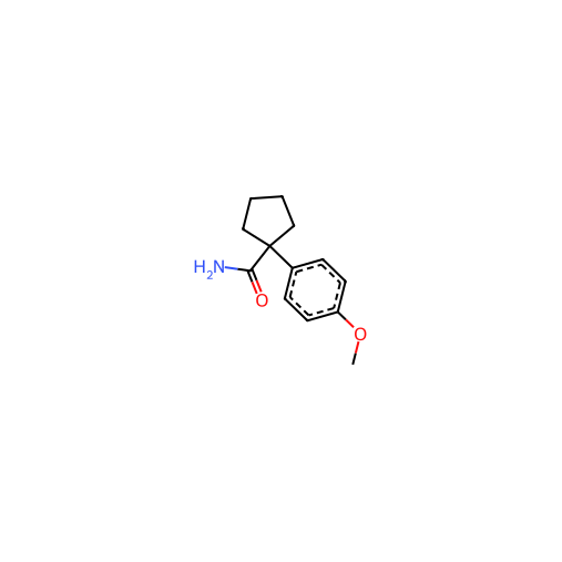 COc1ccc(C2(C(N)=O)CCCC2)cc1